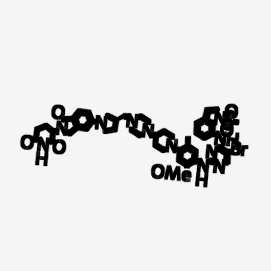 COc1cc(N2CCC(N3CCN(C[C@H]4CCN(c5ccc6c(c5)CN(C5CCC(=O)NC5=O)C6=O)C4)CC3)CC2)c(C)cc1Nc1ncc(Br)c(Nc2cccc3ccn(S(C)(=O)=O)c23)n1